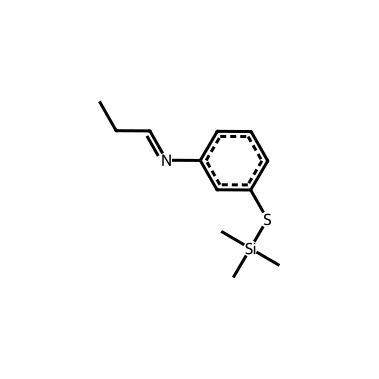 CCC=Nc1cccc(S[Si](C)(C)C)c1